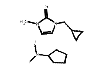 Cn1ccn(CC2CC2)[c]1=[Pt].IN(I)C1CCCC1